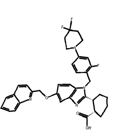 O=C(O)[C@H]1CCCC[C@H]1c1nc2cc(OCc3ccc4ccccc4n3)ccc2n1Cc1ccc(N2CCC(F)(F)CC2)cc1F